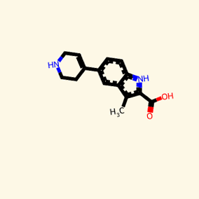 Cc1c(C(=O)O)[nH]c2ccc(C3=CCNCC3)cc12